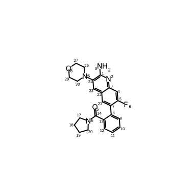 Nc1nc2cc(F)c(-c3ccccc3C(=O)N3CCCC3)cc2cc1N1CCOCC1